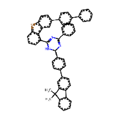 CC1(C)c2ccccc2-c2ccc(-c3ccc(C4N=C(c5ccccc5)N=C(c5cccc6sc7ccc(-c8ccc(-c9ccccc9)cc8)cc7c56)N4)cc3)cc21